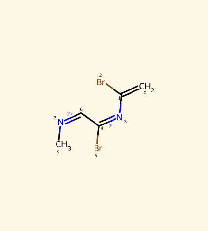 C=C(Br)/N=C(Br)\C=N/C